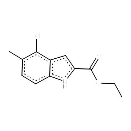 CCOC(=O)c1cc2c(Cl)c(C)ccc2[nH]1